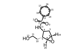 O=S(=O)(N[C@H]1C[C@@H]2O[C@@H]2[C@@H]1CCO)c1ccccc1